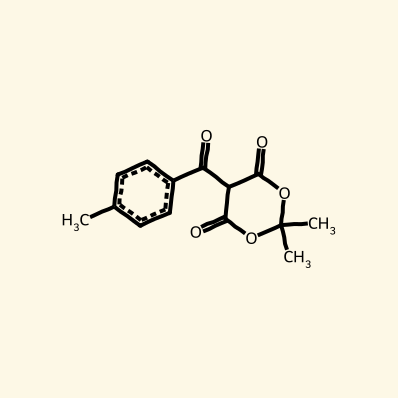 Cc1ccc(C(=O)C2C(=O)OC(C)(C)OC2=O)cc1